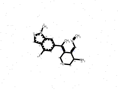 C=N/C=C1\C(=C(/C)c2cc(F)c3cnn(C)c3c2)COCC1N